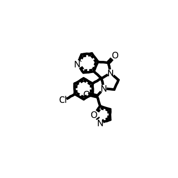 O=C(c1ccno1)N1CCN2C(=O)c3ccncc3C12c1ccc(Cl)cc1